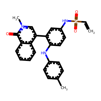 C=CS(=O)(=O)Nc1ccc(Nc2ccc(C)cc2)c(-c2cn(C)c(=O)c3ccccc23)c1